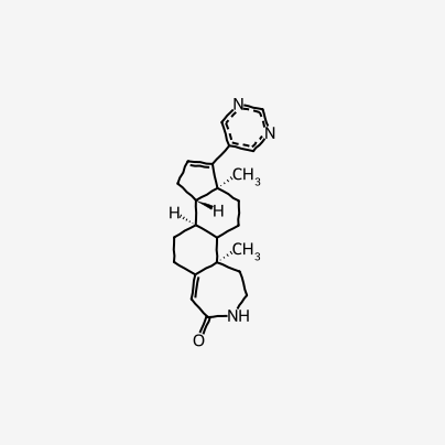 C[C@]12CCNC(=O)C=C1CC[C@@H]1C2CC[C@]2(C)C(c3cncnc3)=CC[C@@H]12